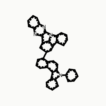 c1ccc(-n2c3ccccc3c3c4cccc(-c5cc6c7ccccc7n7c8nc9ccccc9nc8c(c5)c67)c4ccc32)cc1